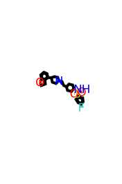 O=S(=O)(NC1CCC(CCN2CCC(c3cccc4c3CCO4)CC2)CC1)c1ccc(F)cc1